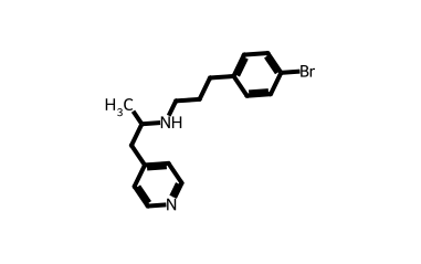 CC(Cc1ccncc1)NCCCc1ccc(Br)cc1